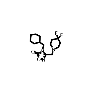 O=c1onc(CN2CCC(F)(F)CC2)n1CC1CCCCC1